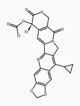 CC[C@@]1(OC(=O)Cl)C(=O)OCc2c1cc1n(c2=O)Cc2c-1nc1cc3c(cc1c2C1CC1)OCO3